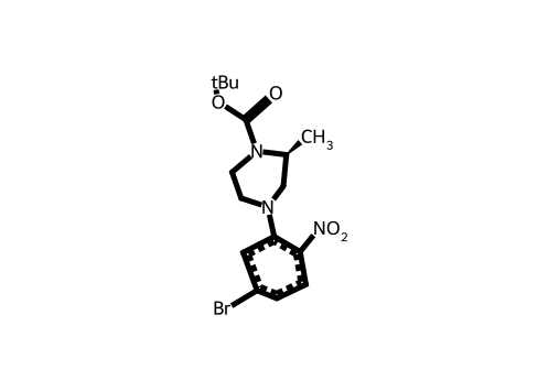 C[C@H]1CN(c2cc(Br)ccc2[N+](=O)[O-])CCN1C(=O)OC(C)(C)C